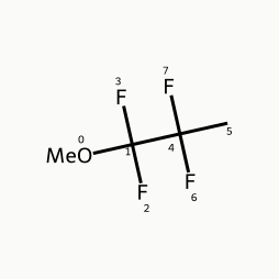 [CH2]OC(F)(F)C(C)(F)F